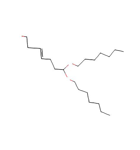 CCCCCCCOC(CC/C=C/CCO)OCCCCCCC